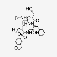 C#CCCC(=O)N(NC(=O)CNC1CC1)[C@@H](Cc1ccccc1)[C@H](O)CNC(C(C)C)S(=O)(=O)c1ccc2c(c1)CCO2